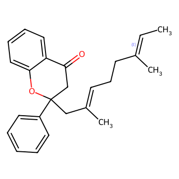 C/C=C(\C)CCC=C(C)CC1(c2ccccc2)CC(=O)c2ccccc2O1